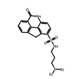 CCN(CC)CCCNS(=O)(=O)c1ccc2[nH]c(=O)c3cccc4c3c2c1C4